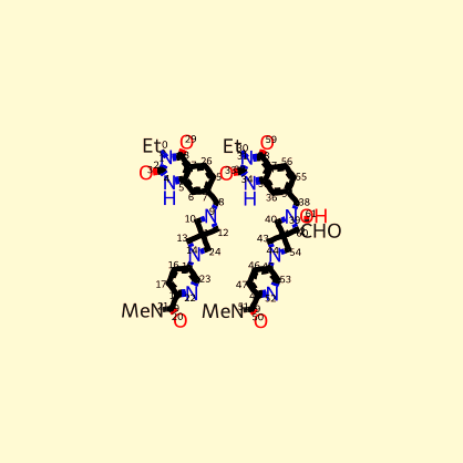 CCn1c(=O)[nH]c2cc(CN3CC4(C3)CN(c3ccc(C(=O)NC)nc3)C4)ccc2c1=O.CCn1c(=O)[nH]c2cc(CN3CC4(C3)CN(c3ccc(C(=O)NC)nc3)C4)ccc2c1=O.O=CO